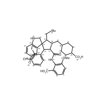 COc1cccc(C(=O)O)c1NC(=O)C1C(c2cccc(Cl)c2F)C2(CNc3ccc(Cl)cc32)C(CC(C)(C)C)N1CC1CCC(C(=O)O)CC1